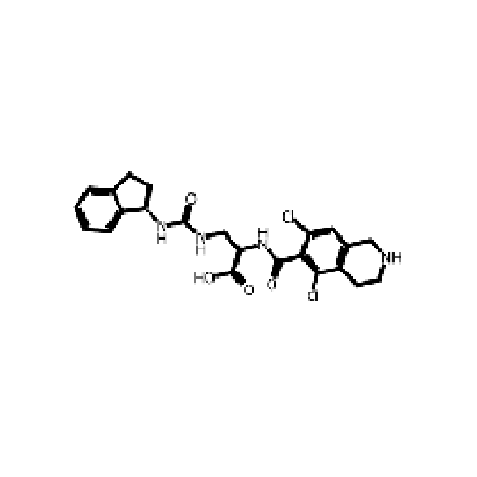 O=C(NCC(NC(=O)c1c(Cl)cc2c(c1Cl)CCNC2)C(=O)O)N[C@@H]1CCc2ccccc21